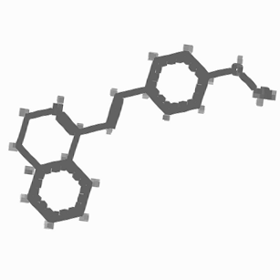 CCCCOc1ccc(/C=C/C2=NCCc3ccccc32)cc1